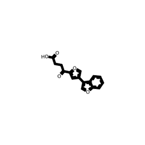 O=C(O)CCC(=O)c1cc(-c2coc3ccccc23)co1